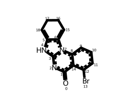 O=c1nc2[nH]c3c(n2c2cccc(Br)c12)=CCCC=3